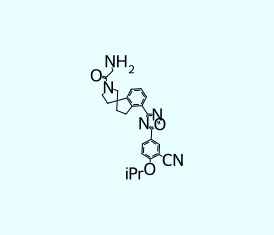 CC(C)Oc1ccc(-c2nc(-c3cccc4c3CCC43CCN(C(=O)CN)C3)no2)cc1C#N